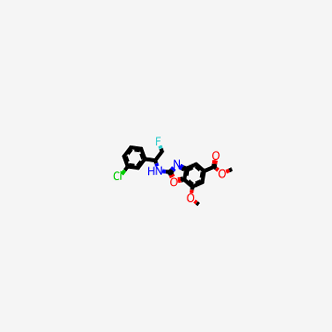 COC(=O)c1cc(OC)c2oc(NC(CF)c3cccc(Cl)c3)nc2c1